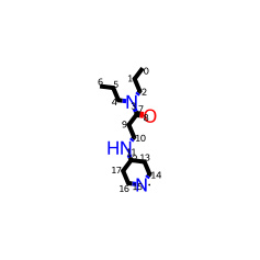 CCCN(CCC)C(=O)CCNC1CC[N]CC1